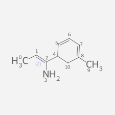 C/C=C(\N)C1C=CC=C(C)C1